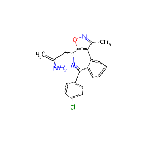 C=C(N)C[C@@H]1N=C(c2ccc(Cl)cc2)c2ccccc2-c2c(C)noc21